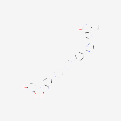 Cn1c(=O)n(C2CCC(=O)NC2=O)c2ccc(N3CCC(N4CCN(c5ccc(-c6nccc(-c7cc8c([nH]7)C7(CCCC7)CNC8=O)n6)cc5)CC4)CC3)cc21